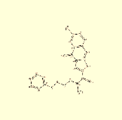 CC(C)c1ccc2nc3sc(C(=O)N(C)CCCCc4cccnc4)cn3c(=O)c2c1